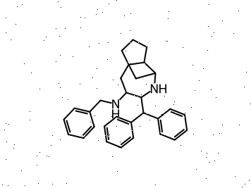 c1ccc(CNC2CC34CCCC3C(C4)NC2C(c2ccccc2)c2ccccc2)cc1